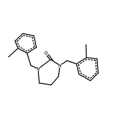 Cc1ccccc1CN1CCCN(Cc2ccccc2C)C1=O